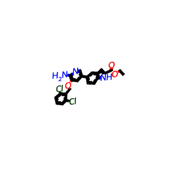 CCOC(=O)c1cc2cc(-c3cnc(N)c(OCc4c(Cl)cccc4Cl)c3)ccc2[nH]1